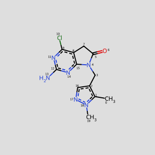 Cc1c(CN2C(=O)Cc3c(Cl)nc(N)nc32)cnn1C